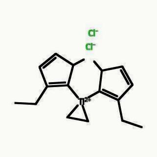 CCC1=[C]([Ti+2]2([C]3=C(CC)C=CC3C)[CH2][CH2]2)C(C)C=C1.[Cl-].[Cl-]